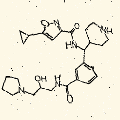 O=C(NCC(O)CN1CCCC1)c1cccc(C(NC(=O)c2cc(C3CC3)on2)C2CCNCC2)c1